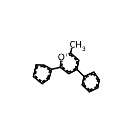 Cc1cc(-c2ccccc2)cc(-c2ccccc2)[o+]1